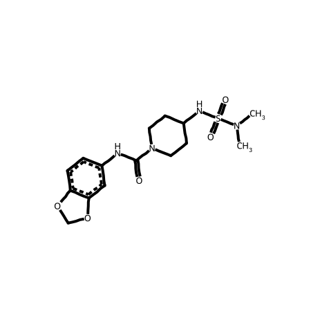 CN(C)S(=O)(=O)NC1CCN(C(=O)Nc2ccc3c(c2)OCO3)CC1